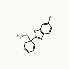 NCC1(c2nc3ccc(F)cc3s2)C=CC=CC1